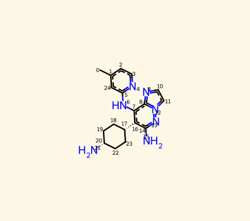 Cc1ccnc(Nc2c3nccn3nc(N)c2[C@H]2CC[C@@H](N)CC2)c1